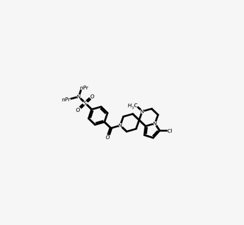 CCCN(CCC)S(=O)(=O)c1ccc(C(=O)N2CCC3(CC2)c2ccc(Cl)n2CCN3C)cc1